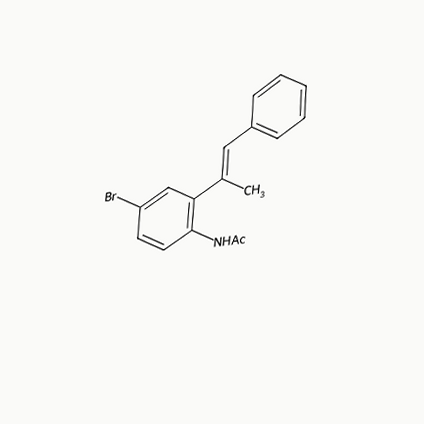 CC(=O)Nc1ccc(Br)cc1/C(C)=C/c1ccccc1